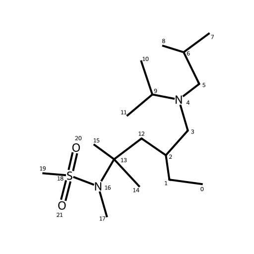 CCC(CN(CC(C)C)C(C)C)CC(C)(C)N(C)S(C)(=O)=O